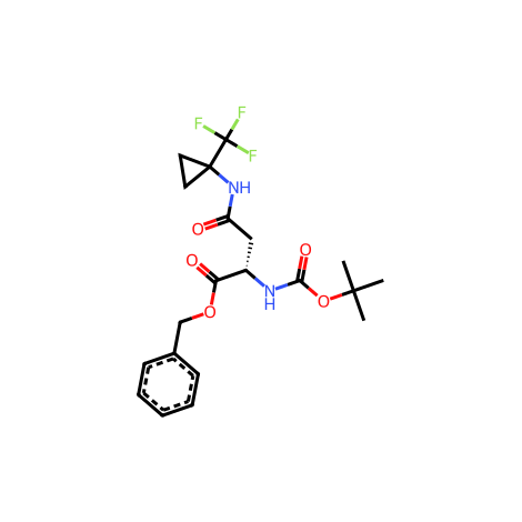 CC(C)(C)OC(=O)N[C@@H](CC(=O)NC1(C(F)(F)F)CC1)C(=O)OCc1ccccc1